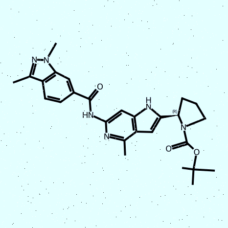 Cc1nc(NC(=O)c2ccc3c(C)nn(C)c3c2)cc2[nH]c([C@H]3CCCN3C(=O)OC(C)(C)C)cc12